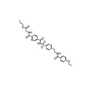 CCCOC(=O)CNC(=O)c1ccc(C(=O)NS(=O)(=O)c2ccc(CCNC(=O)c3ccc(OCC)cc3)cc2)cn1